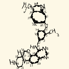 Cc1cc(Nc2ncnc3ccc4c(c23)OC[C@H]2CNCCN42)ccc1Oc1ccc2c(c1)ncn2C